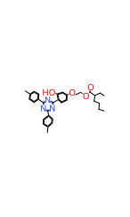 CCCCC(CC)C(=O)OCCOc1ccc(-c2nc(-c3ccc(C)cc3)nc(-c3ccc(C)cc3)n2)c(O)c1